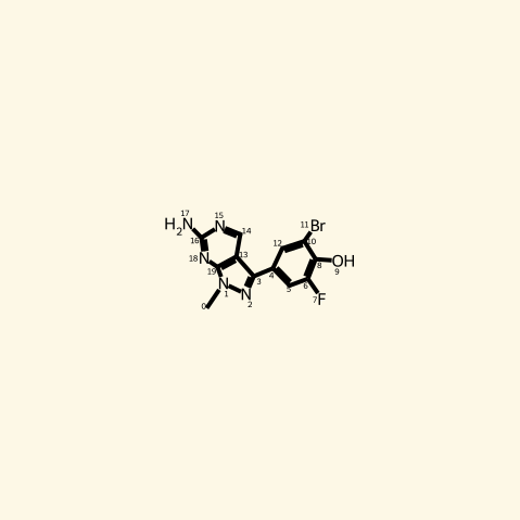 Cn1nc(-c2cc(F)c(O)c(Br)c2)c2cnc(N)nc21